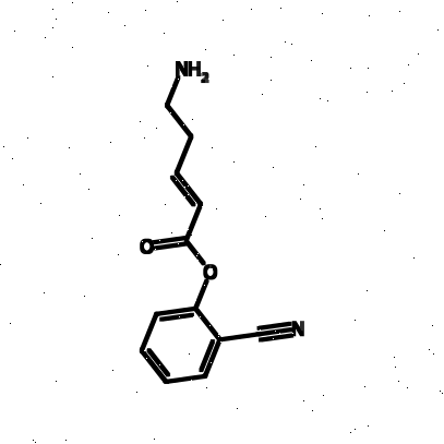 N#Cc1ccccc1OC(=O)C=CCCN